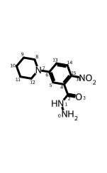 NNC(=O)c1cc(N2CCCCC2)ccc1[N+](=O)[O-]